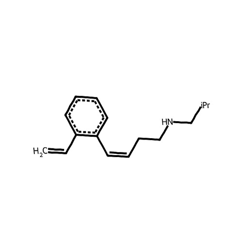 C=Cc1ccccc1/C=C\CCNCC(C)C